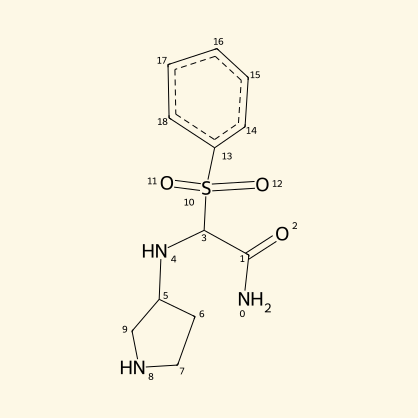 NC(=O)C(NC1CCNC1)S(=O)(=O)c1ccccc1